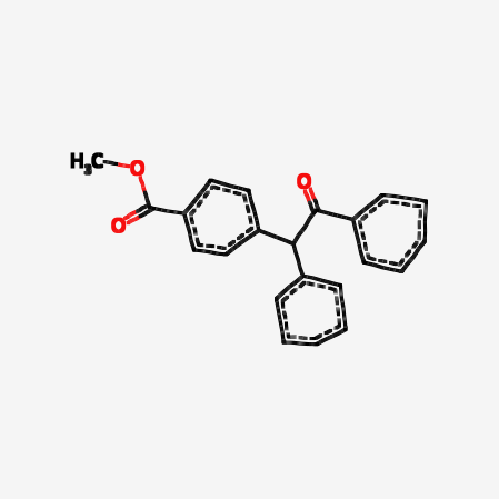 COC(=O)c1ccc(C(C(=O)c2ccccc2)c2ccccc2)cc1